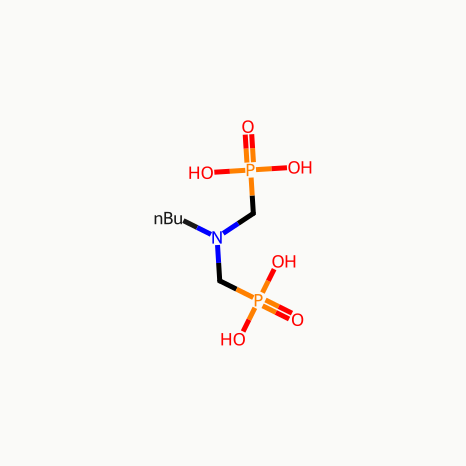 CCCCN(CP(=O)(O)O)CP(=O)(O)O